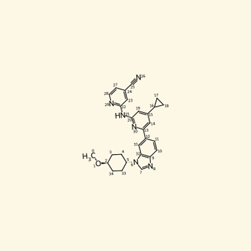 CO[C@H]1CC[C@H](n2cnc3ccc(-c4cc(C5CC5)cc(Nc5cc(C#N)ccn5)n4)cc32)CC1